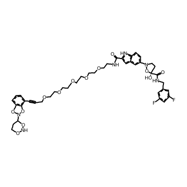 O=C(NCCOCCOCCOCCOCCOCC#Cc1cccc2c1ON(C1CCONO1)O2)c1cc2cc(N3CC[C@@](O)(C(=O)NCc4cc(F)cc(F)c4)O3)ccc2[nH]1